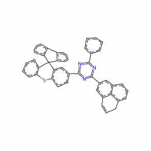 C1=Cc2cc(-c3nc(-c4ccccc4)nc(-c4ccc5c(c4)C4(c6ccccc6S5)c5ccccc5-c5ccccc54)n3)cc3cccc(c23)C1